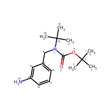 CC(C)(C)OC(=O)N(Cc1cccc(N)c1)C(C)(C)C